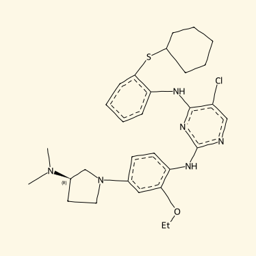 CCOc1cc(N2CC[C@@H](N(C)C)C2)ccc1Nc1ncc(Cl)c(Nc2ccccc2SC2CCCCC2)n1